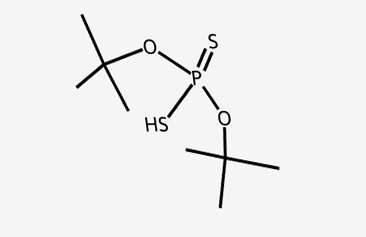 CC(C)(C)OP(=S)(S)OC(C)(C)C